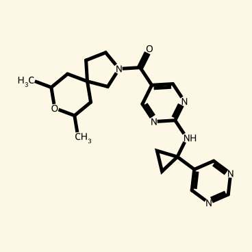 CC1CC2(CCN(C(=O)c3cnc(NC4(c5cncnc5)CC4)nc3)C2)CC(C)O1